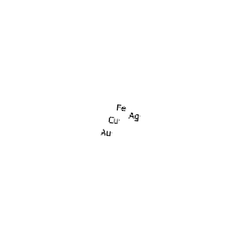 [Ag].[Au].[Cu].[Fe]